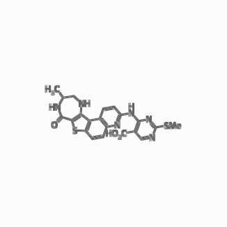 CSc1ncc(C(=O)O)c(Nc2ccc3c(ccc4sc5c(c43)NCC(C)NC5=O)n2)n1